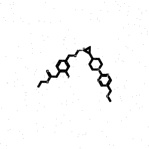 CCOC(=O)Cc1ccc(COC[C@@H]2CC2C2CCN(c3ncc(COC)cn3)CC2)cc1F